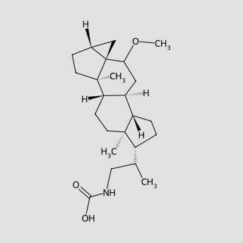 COC1C[C@H]2[C@@H]3CC[C@H](C(C)CNC(=O)O)[C@@]3(C)CC[C@@H]2[C@@]2(C)CC[C@@H]3C[C@]132